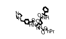 CCCOC(=O)n1nc(NC(=O)c2ccc(CN3CCN(C)CC3)cc2)c2oc(C(=O)NC(C)(C)c3ccccc3)cc21